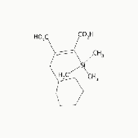 C[Si](C)(C)C(C(=O)O)=C(CC1CCCCC1)C(=O)O